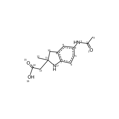 CC(=O)Nc1ccc2c(c1)CC(C)(CC(=O)O)N2